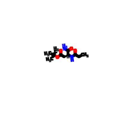 CCC(=O)N[C@H](CC(=O)OC(C)(C)C)C(N)=O